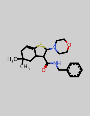 CC1(C)CC=C2SC(N3CCOCC3)C(C(=O)NCc3ccccc3)C2C1